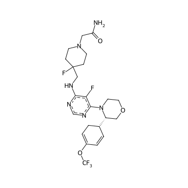 NC(=O)CN1CCC(F)(CNc2ncnc(N3CCOC[C@@H]3C3C=CC(OC(F)(F)F)=CC3)c2F)CC1